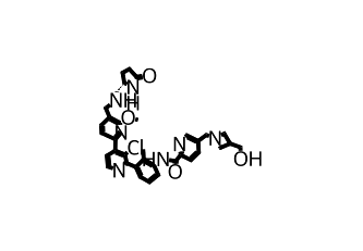 COc1nc(-c2ccnc(-c3cccc(NC(=O)c4ccc(CN5CC(CO)C5)cn4)c3C)c2Cl)ccc1CNC[C@@H]1CCC(=O)N1